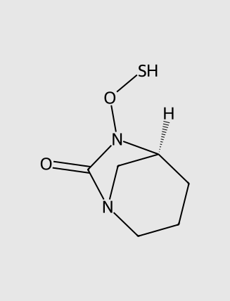 O=C1N2CCC[C@@H](C2)N1OS